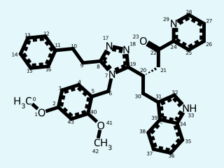 COc1ccc(Cn2c(CCc3ccccc3)nnc2[C@H](CC(=O)c2ccccn2)Cc2c[nH]c3ccccc23)c(OC)c1